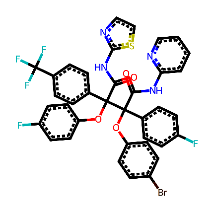 O=C(Nc1ccccn1)C(Oc1ccc(Br)cc1)(c1ccc(F)cc1)C(Oc1ccc(F)cc1)(C(=O)Nc1nccs1)c1ccc(C(F)(F)F)cc1